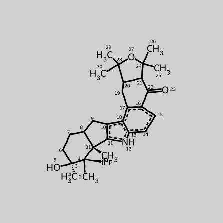 CC(C)[C@@]1(C)[C@@](C)(O)CCC2Cc3c([nH]c4ccc5c(c34)CC3C(C5=O)C(C)(C)OC3(C)C)[C@@]21C